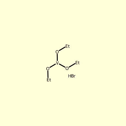 Br.CC[O][V]([O]CC)[O]CC